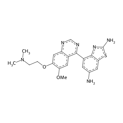 COc1cc2c(-c3cc(N)cc4sc(N)nc34)ncnc2cc1OCCN(C)C